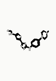 CN1CCN(c2ccc(Nc3nnc(-c4cc(NC=O)cs4)s3)cc2)CC1